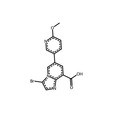 COc1ccc(-c2cc(C(=O)O)c3ncc(Br)n3c2)cn1